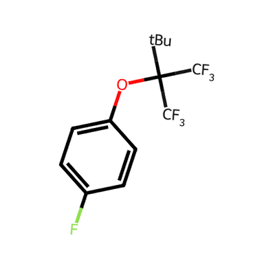 CC(C)(C)C(Oc1ccc(F)cc1)(C(F)(F)F)C(F)(F)F